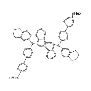 CCCCCCc1ccc(-c2ccc(N(c3ccc4c(c3)CCCC4)c3cc4c5ccccc5c(N(c5ccc(-c6ccc(CCCCCC)cc6)cc5)c5ccc6c(c5)CCCC6)cc4c4ccccc34)cc2)cc1